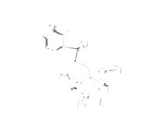 CCOP(=O)(OCC)C(CCC(=O)c1cccnc1)P(=O)(OCC)OCC